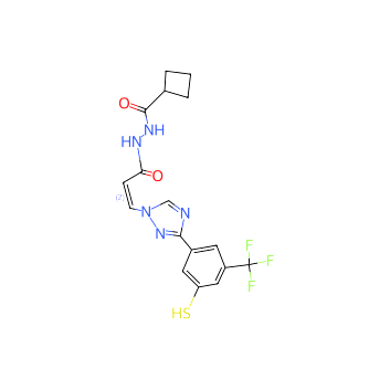 O=C(/C=C\n1cnc(-c2cc(S)cc(C(F)(F)F)c2)n1)NNC(=O)C1CCC1